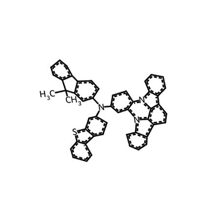 CC1(C)c2ccccc2-c2ccc(N(c3ccc4c(c3)sc3ccccc34)c3ccc4c(c3)n3c5ccccc5c5ccc6c7ccccc7n4c6c53)cc21